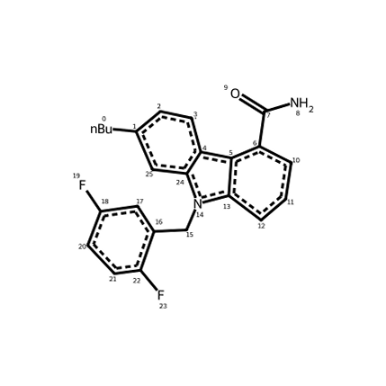 CCCCc1c[c]c2c3c(C(N)=O)cccc3n(Cc3cc(F)ccc3F)c2c1